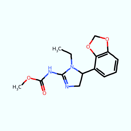 CCN1C(NC(=O)OC)=NCC1c1cccc2c1OCO2